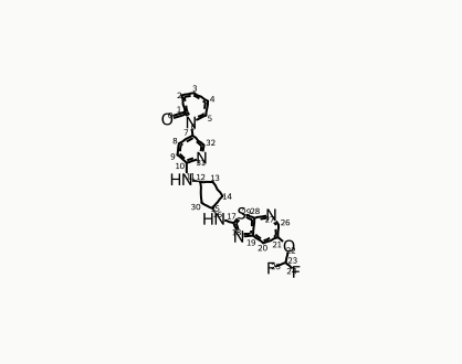 O=c1ccccn1-c1ccc(N[C@H]2CC[C@H](Nc3nc4cc(OC(F)F)cnc4s3)C2)nc1